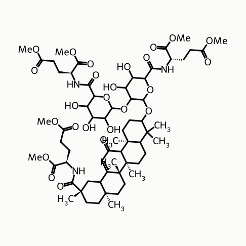 COC(=O)CC[C@H](NC(=O)C1OC(OC2C(OC3CC[C@@]4(C)C(CC[C@]5(C)C4C(=O)C=C4C6C[C@@](C)(C(=O)N[C@H](CCC(=O)OC)C(=O)OC)CC[C@]6(C)CC[C@]45C)C3(C)C)OC(C(=O)N[C@@H](CCC(=O)OC)C(=O)OC)C(O)C2O)C(O)C(O)C1O)C(=O)OC